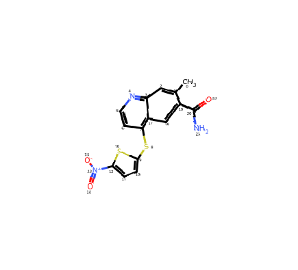 Cc1cc2nccc(Sc3ccc([N+](=O)[O-])s3)c2cc1C(N)=O